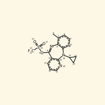 Cc1ccnc2c1N=C(OS(=O)(=O)C(F)(F)F)c1cccnc1N2C1CC1